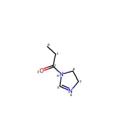 CCC(=O)N1C=NCC1